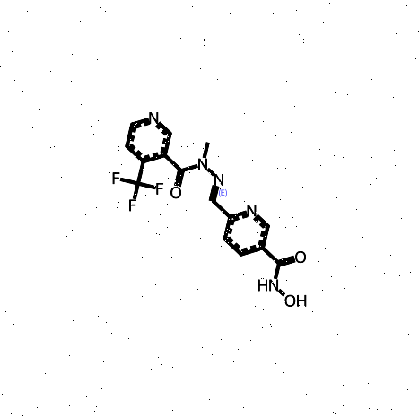 CN(/N=C/c1ccc(C(=O)NO)cn1)C(=O)c1cnccc1C(F)(F)F